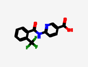 O=C(O)c1ccc(NC(=O)c2ccccc2C(F)(F)F)nc1